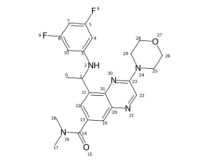 CC(Nc1cc(F)cc(F)c1)c1cc(C(=O)N(C)C)cc2ncc(N3CCOCC3)nc12